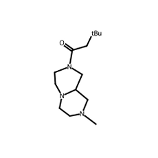 CN1CCN2CCN(C(=O)CC(C)(C)C)CC2C1